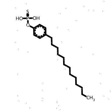 CCCCCCCCCCCCCc1ccc(OP(O)(O)=S)cc1